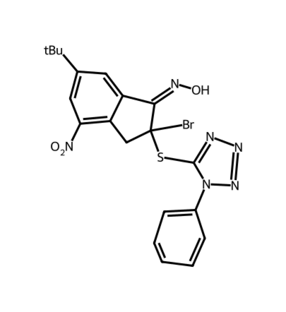 CC(C)(C)c1cc2c(c([N+](=O)[O-])c1)CC(Br)(Sc1nnnn1-c1ccccc1)C2=NO